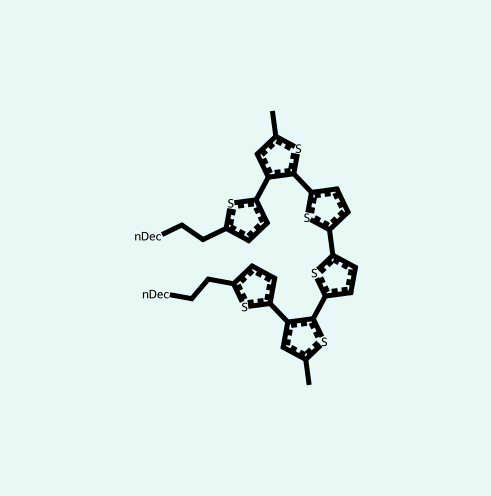 CCCCCCCCCCCCc1ccc(-c2cc(C)sc2-c2ccc(-c3ccc(-c4sc(C)cc4-c4ccc(CCCCCCCCCCCC)s4)s3)s2)s1